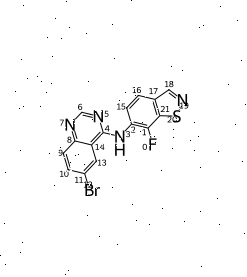 Fc1c(Nc2ncnc3ccc(Br)cc23)ccc2cnsc12